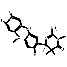 COc1cc(F)c(F)cc1Nc1ccc(F)c([C@@]2(C)N=C(N)N(C)C(=O)C2(C)C)c1